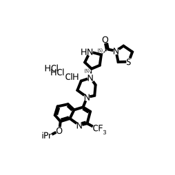 CC(C)Oc1cccc2c(N3CCN([C@@H]4CN[C@H](C(=O)N5CCSC5)C4)CC3)cc(C(F)(F)F)nc12.Cl.Cl.Cl